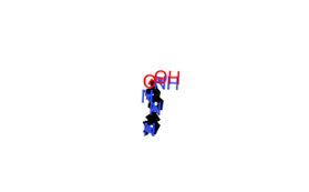 CN1CCC2(CC(N3CCc4cc(C(=O)NO)cnc4C3)C2)C1